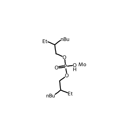 CCCCC(CC)COP(=O)(O)OCC(CC)CCCC.[Mo]